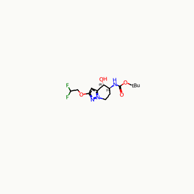 CC(C)(C)OC(=O)N[C@H]1CCn2nc(OCC(F)F)cc2[C@@H]1O